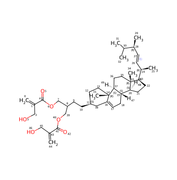 C=C(CO)C(=O)OCC(CC[C@H]1CC[C@@]2(C)C(=CC[C@H]3[C@@H]4CC[C@H]([C@H](C)/C=C/[C@H](C)C(C)C)[C@@]4(C)CC[C@@H]32)C1)COC(=O)C(=C)CO